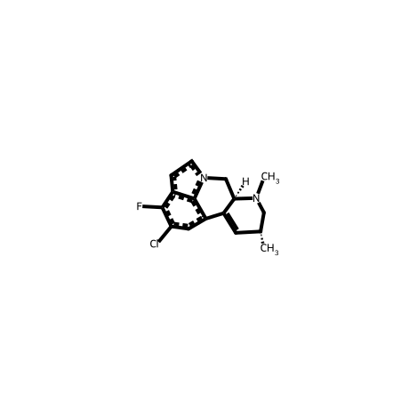 C[C@@H]1C=C2c3cc(Cl)c(F)c4ccn(c34)C[C@H]2N(C)C1